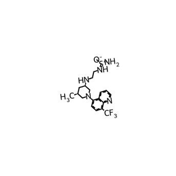 C[C@H]1C[C@@H](NCCN[S+](N)[O-])CN(c2ccc(C(F)(F)F)c3ncccc23)C1